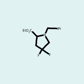 CCOC(=O)C1CC(F)(F)CN1CC(C)C